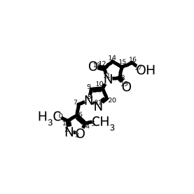 Cc1noc(C)c1Cn1cc(N2C(=O)CC(CO)C2=O)cn1